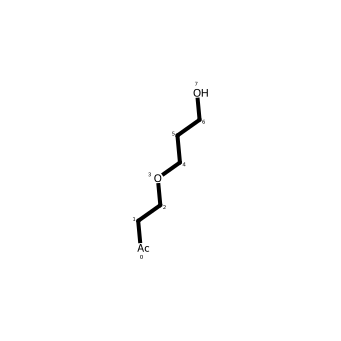 CC(=O)CCOCCCO